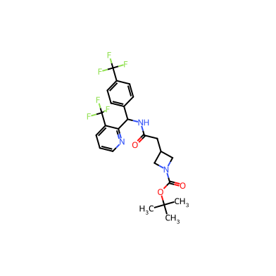 CC(C)(C)OC(=O)N1CC(CC(=O)NC(c2ccc(C(F)(F)F)cc2)c2ncccc2C(F)(F)F)C1